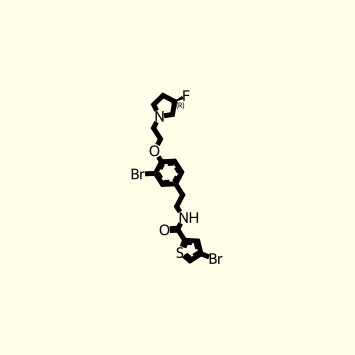 O=C(NCCc1ccc(OCCN2CC[C@@H](F)C2)c(Br)c1)c1cc(Br)cs1